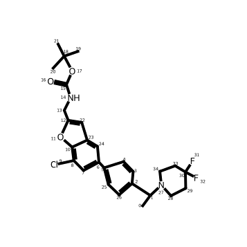 CC(c1ccc(-c2cc(Cl)c3oc(CNC(=O)OC(C)(C)C)cc3c2)cc1)N1CCC(F)(F)CC1